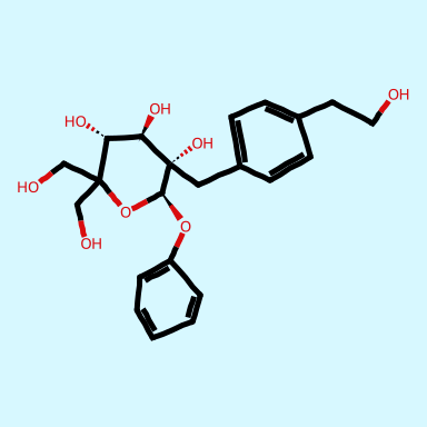 OCCc1ccc(C[C@@]2(O)[C@@H](Oc3ccccc3)OC(CO)(CO)[C@H](O)[C@H]2O)cc1